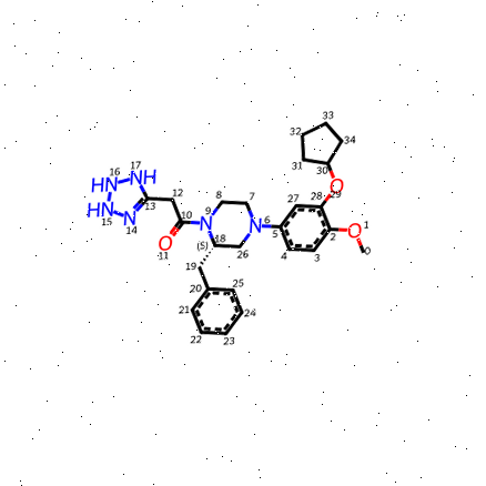 COc1ccc(N2CCN(C(=O)CC3=NNNN3)[C@@H](Cc3ccccc3)C2)cc1OC1CCCC1